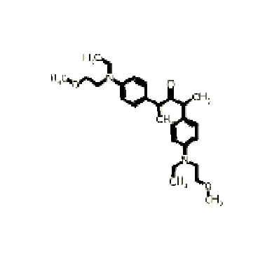 CCN(CCOC)c1ccc(C(C)C(=O)C(C)c2ccc(N(CC)CCOC)cc2)cc1